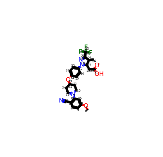 COc1ccc(C#N)c(N2CCC(Oc3ccc(N4N=C(C(F)(F)F)C(C)C4CC(=O)O)cc3)CC2)c1